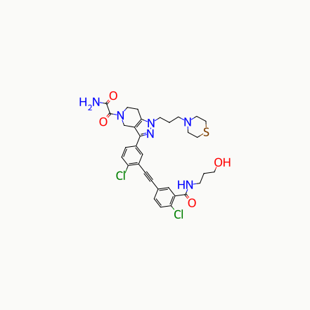 NC(=O)C(=O)N1CCc2c(c(-c3ccc(Cl)c(C#Cc4ccc(Cl)c(C(=O)NCCCO)c4)c3)nn2CCCN2CCSCC2)C1